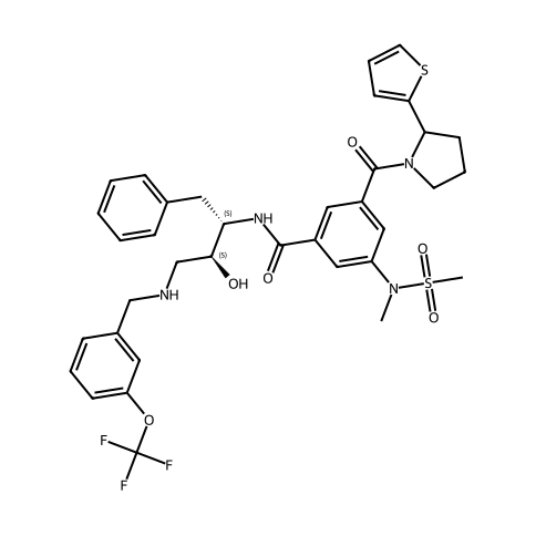 CN(c1cc(C(=O)N[C@@H](Cc2ccccc2)[C@@H](O)CNCc2cccc(OC(F)(F)F)c2)cc(C(=O)N2CCCC2c2cccs2)c1)S(C)(=O)=O